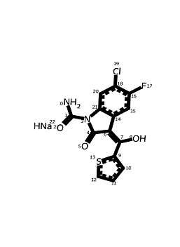 NC(=O)N1C(=O)C(=C(O)c2cccs2)c2cc(F)c(Cl)cc21.[NaH]